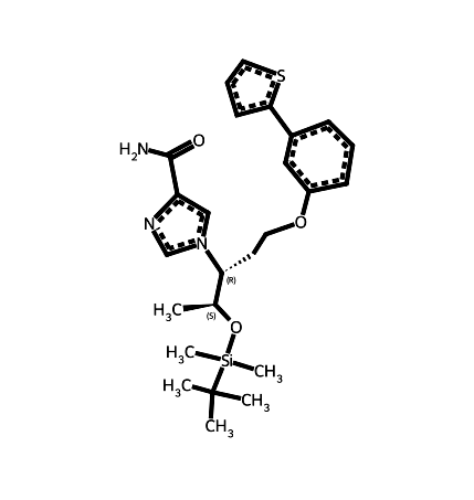 C[C@H](O[Si](C)(C)C(C)(C)C)[C@@H](CCOc1cccc(-c2cccs2)c1)n1cnc(C(N)=O)c1